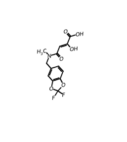 CN(Cc1ccc2c(c1)OC(F)(F)O2)C(=O)C=C(O)C(=O)O